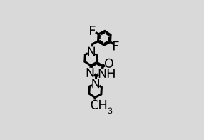 CC1CCN(c2nc3c(c(=O)[nH]2)CN(Cc2cc(F)ccc2F)CC3)CC1